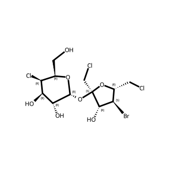 OC[C@H]1O[C@H](O[C@@]2(CCl)O[C@H](CCl)[C@@H](Br)[C@@H]2O)[C@H](O)[C@@H](O)[C@H]1Cl